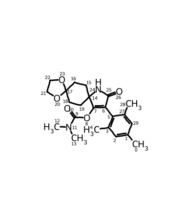 Cc1cc(C)c(C2=C(OC(=O)N(C)C)C3(CCC4(CC3)OCCO4)NC2=O)c(C)c1